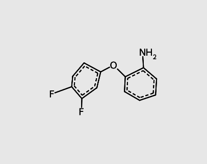 Nc1ccccc1Oc1ccc(F)c(F)c1